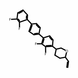 C=CC1CCC(c2ccc(-c3ccc(-c4cccc(F)c4F)cc3)c(F)c2F)CO1